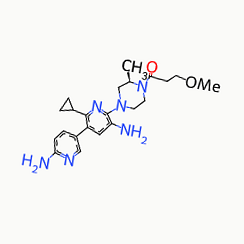 COCCC(=O)N1CCN(c2nc(C3CC3)c(-c3ccc(N)nc3)cc2N)C[C@H]1C